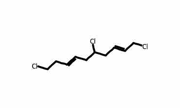 ClCC=CCC(Cl)CC=CCCCl